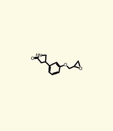 O=C1CC(c2cccc(OCC3CO3)c2)CN1